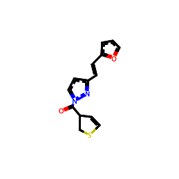 O=C(C1C=CSC1)n1ccc(/C=C/c2ccco2)n1